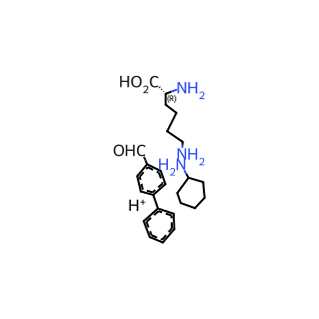 NC1CCCCC1.NCCCC[C@@H](N)C(=O)O.O=Cc1ccc(-c2ccccc2)cc1.[H+]